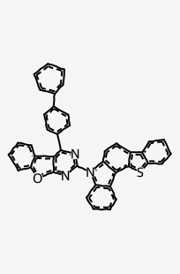 c1ccc(-c2ccc(-c3nc(-n4c5ccccc5c5c6sc7ccccc7c6ccc54)nc4oc5ccccc5c34)cc2)cc1